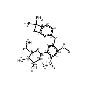 BC1(B)Cc2cc(Cc3cc([C@@H]4O[C@H](CO)[C@@H](O)[C@H](O)[C@H]4O)c(OC)cc3OC)ccc21